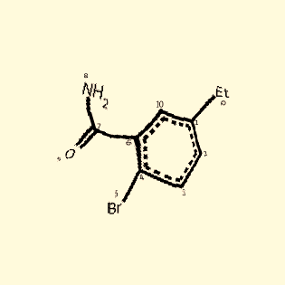 CCc1ccc(Br)c(C(N)=O)c1